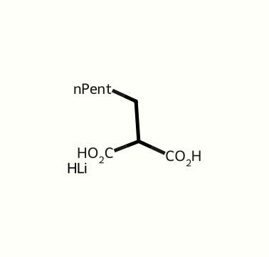 CCCCCCC(C(=O)O)C(=O)O.[LiH]